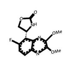 COc1nc2ccc(F)c([C@@H]3COC(=O)N3)c2nc1OC